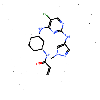 C=CC(=O)N[C@H]1CCC[C@@H](Nc2nc(Nc3cnn(C)c3)ncc2Cl)C1